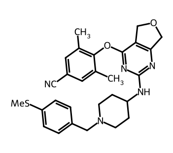 CSc1ccc(CN2CCC(Nc3nc4c(c(Oc5c(C)cc(C#N)cc5C)n3)COC4)CC2)cc1